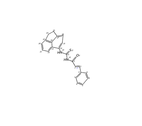 O=C(/C=C/c1ccccc1)NC(=S)Nc1ccc2c3c(cccc13)CC2